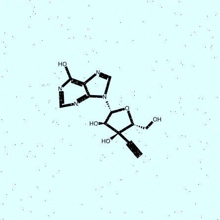 C#C[C@@]1(O)[C@@H](CO)O[C@@H](n2cnc3c(O)ncnc32)[C@@H]1O